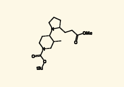 COC(=O)CCC1CCCN1C1CCN(C(=O)OC(C)(C)C)CC1C